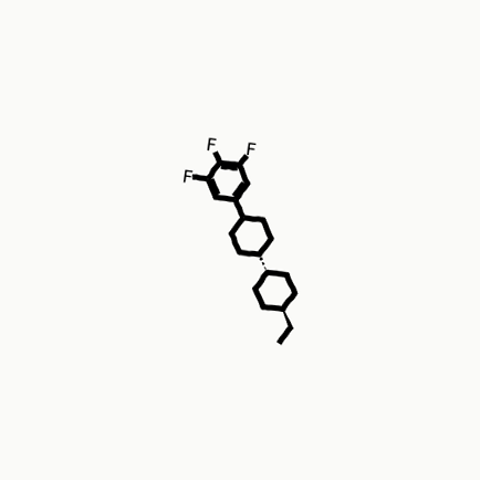 CC[C@H]1CC[C@H](C2CCC(c3cc(F)c(F)c(F)c3)CC2)CC1